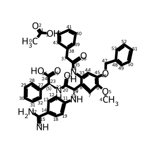 CC(=O)O.COc1cc([C@H](Nc2ccc(C(=N)N)cc2)C(=O)N[C@H](C(=O)O)c2ccccc2)c(NC(=O)Cc2ccccc2)cc1OCc1ccccc1